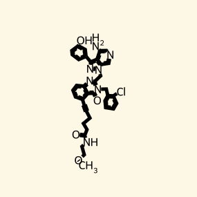 COCCNC(=O)CCCC#Cc1cccc2nc(Cn3nc(-c4cccc(O)c4)c4c(N)cncc43)n(Cc3ccccc3Cl)c(=O)c12